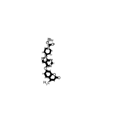 Cc1cc(=O)oc2cc(Oc3ncnc4c3cnn4C3CCN(C(=O)OC(C)(C)C)CC3)ccc12